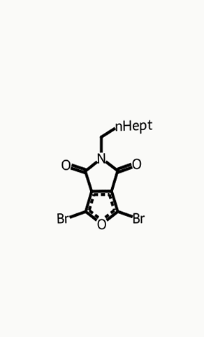 CCCCCCCCN1C(=O)c2c(Br)oc(Br)c2C1=O